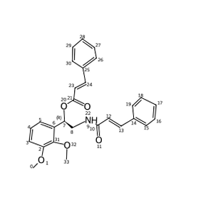 COc1cccc([C@H](CNC(=O)C=Cc2ccccc2)OC(=O)C=Cc2ccccc2)c1OC